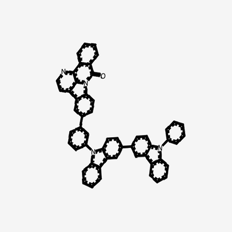 O=c1c2ccccc2c2nccc3c4cc(-c5cccc(-n6c7ccccc7c7cc(-c8ccc9c(c8)c8ccccc8n9-c8ccccc8)ccc76)c5)ccc4n1c32